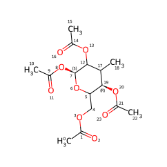 CC(=O)OCC1O[C@@H](OC(C)=O)C(OC(C)=O)C(C)[C@H]1OC(C)=O